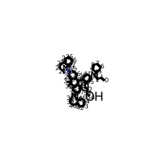 C=CCN(c1ccccc1)c1ccc(C2=C3C=C/C(=[N+]4/CCCc5ccccc54)C=C3C(C)(C)c3cc(N4CCCc5ccccc54)ccc32)c(OCCO)c1